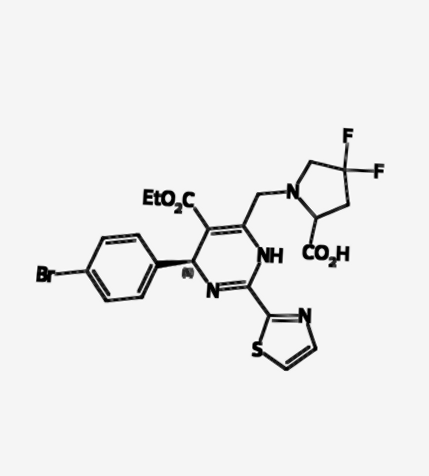 CCOC(=O)C1=C(CN2CC(F)(F)CC2C(=O)O)NC(c2nccs2)=N[C@H]1c1ccc(Br)cc1